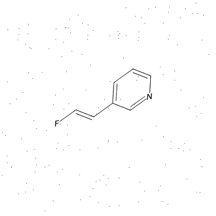 FC=Cc1cccnc1